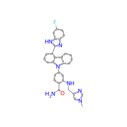 Cn1cnc(CNc2cc(-n3c4ccccc4c4c(-c5nc6ccc(F)cc6[nH]5)cccc43)ccc2C(N)=O)c1